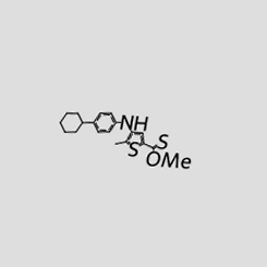 COC(=S)c1cc(Nc2ccc(C3CCCCC3)cc2)c(C)s1